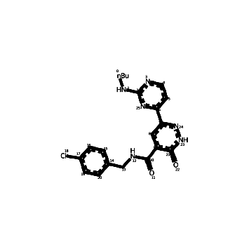 CCCCNc1nccc(-c2cc(C(=O)NCc3ccc(Cl)cc3)c(=O)[nH]n2)n1